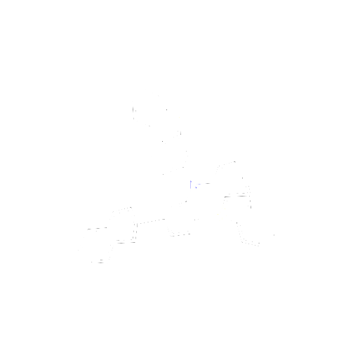 c1cc(-c2ccc3ccccc3c2)cc(N(c2ccc3c(c2)sc2ccccc23)c2cccc3c2sc2ccccc23)c1